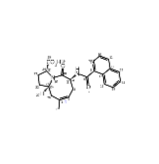 C/C1=C/C[C@H](NC(=O)c2nccc3ccccc23)C(=O)N2[C@@H](CC[C@H]2C(=O)O)C1